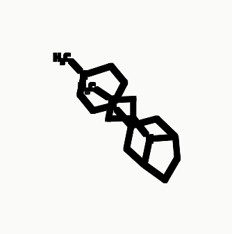 CN1CCN(C2CC3CCC(C2)N3C2CN(C)C2)CC1